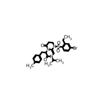 CCc1cc(Br)ccc1S(=O)(=O)N1CCC(=O)N2C1=CN(C(C)C)C(=O)C2Cc1ccc(C)cc1